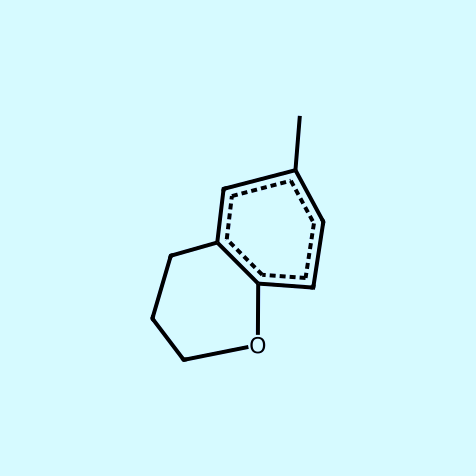 Cc1ccc2c(c1)CCCO2